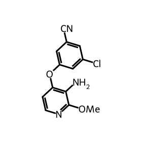 COc1nccc(Oc2cc(Cl)cc(C#N)c2)c1N